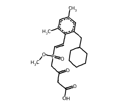 COP(=O)(C=Cc1c(C)cc(C)cc1CC1CCCCC1)CC(=O)CC(=O)O